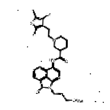 COCCCN1c2ccc(NC(=O)C3CCCN(CCc4c(Cl)sc(Cl)c4Br)C3)c3cccc(c23)C1O